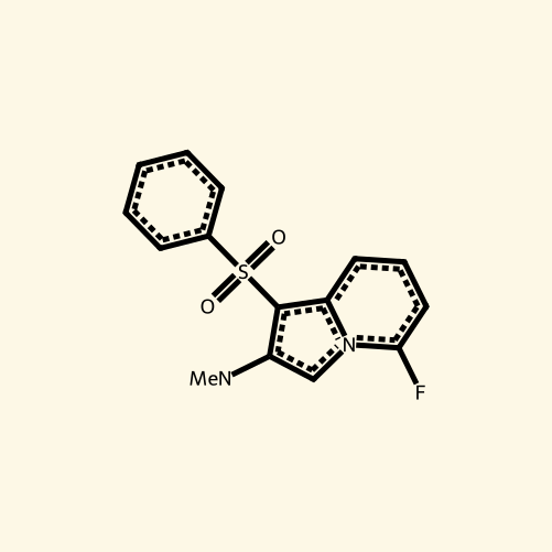 CNc1cn2c(F)cccc2c1S(=O)(=O)c1ccccc1